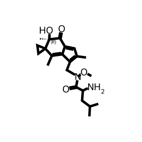 CON(CC1=C(C)C=C2C(=O)[C@](C)(O)C3(CC3)C(C)=C21)C(=O)C(N)CC(C)C